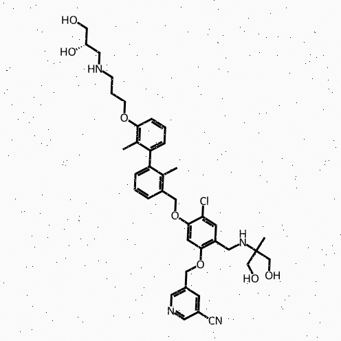 Cc1c(COc2cc(OCc3cncc(C#N)c3)c(CNC(C)(CO)CO)cc2Cl)cccc1-c1cccc(OCCCNC[C@H](O)CO)c1C